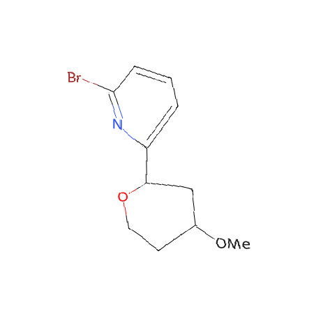 COC1CCOC(c2cccc(Br)n2)C1